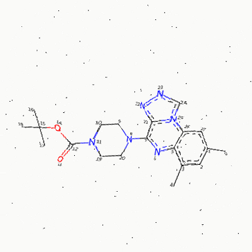 Cc1cc(C)c2nc(N3CCN(C(=O)OC(C)(C)C)CC3)c3nncn3c2c1